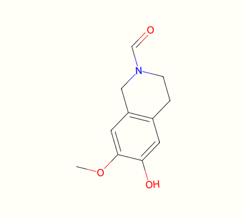 COc1cc2c(cc1O)CCN(C=O)C2